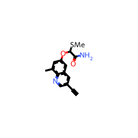 C#Cc1cnc2c(C)cc(OC(SC)C(N)=O)cc2c1